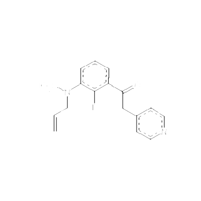 C=CCN(C(=O)O)c1cccc(C(=O)Cc2ccncc2)c1F